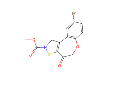 COC(=O)N1CC2=C(S1)C(=O)COc1ccc(Br)cc12